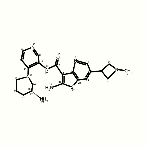 CN1CC(c2cnc3c(C(=O)Nc4cnccc4N4CCC[C@@H](N)C4)c(N)sc3c2)C1